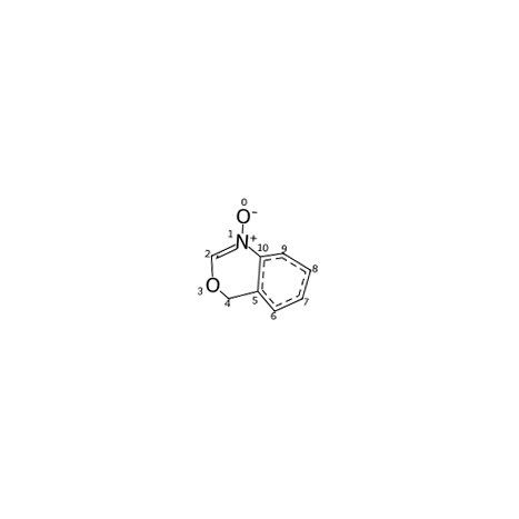 [O-][N+]1=[C]OCc2ccccc21